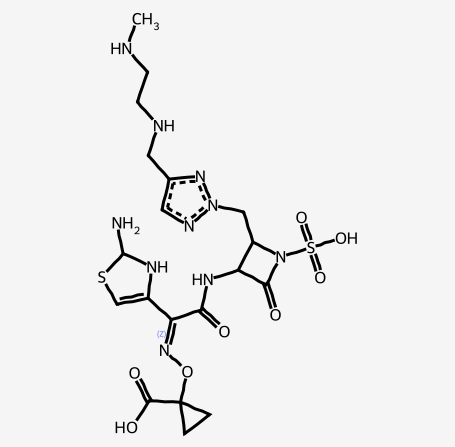 CNCCNCc1cnn(CC2C(NC(=O)/C(=N\OC3(C(=O)O)CC3)C3=CSC(N)N3)C(=O)N2S(=O)(=O)O)n1